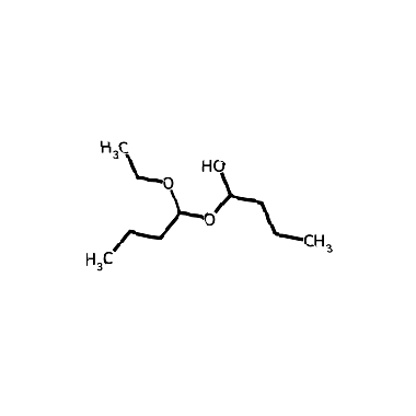 CCCC(O)OC(CCC)OCC